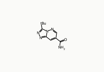 CC(C)(C)c1nnc2cc(C(N)=O)cnn12